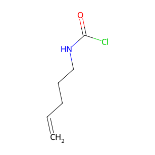 C=CCCCNC(=O)Cl